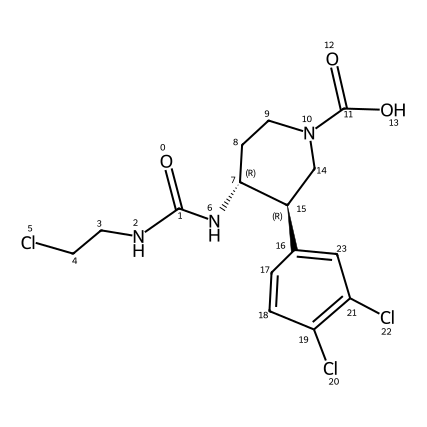 O=C(NCCCl)N[C@@H]1CCN(C(=O)O)C[C@H]1c1ccc(Cl)c(Cl)c1